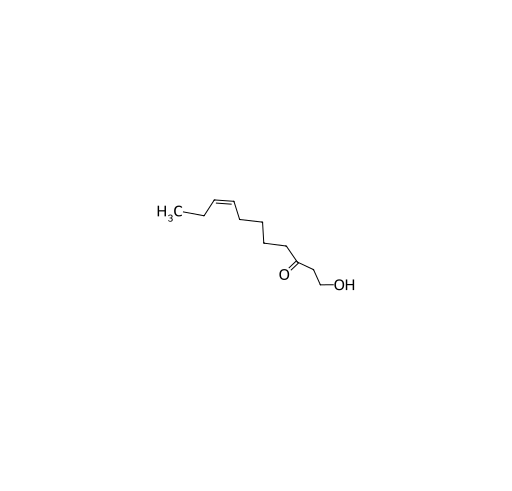 CC/C=C\CCCCC(=O)CCO